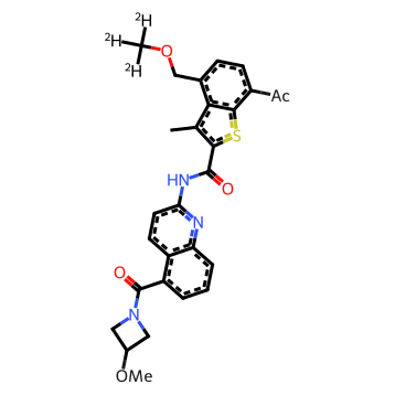 [2H]C([2H])([2H])OCc1ccc(C(C)=O)c2sc(C(=O)Nc3ccc4c(C(=O)N5CC(OC)C5)cccc4n3)c(C)c12